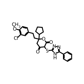 COc1ccc(CCC2(C3CCCC3)CC(=O)C(Sc3nnc(-c4ccccc4)[nH]3)C(=O)O2)cc1Cl